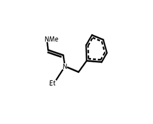 CCN(C=CNC)Cc1ccccc1